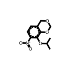 CC(C)Oc1c([N+](=O)[O-])ccc2c1OCOC2